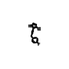 Fc1ccc(CC#Cc2[nH]ccc2Cl)cc1